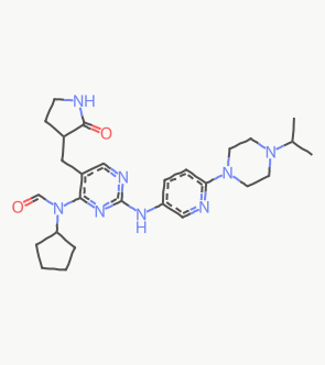 CC(C)N1CCN(c2ccc(Nc3ncc(CC4CCNC4=O)c(N(C=O)C4CCCC4)n3)cn2)CC1